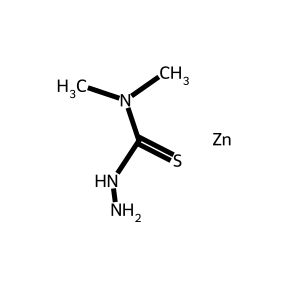 CN(C)C(=S)NN.[Zn]